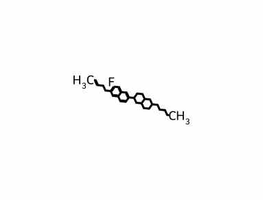 CC=CCCc1cc2ccc(C3CCC4CC(CCCCC)CCC4C3)cc2cc1F